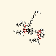 CCCCCCCCCCCCc1cccc(OC(=O)CCC(C)C)c1OC(=O)CCC(C)C.COc1cccc(OC(=O)CCC(C)C)c1OC(=O)CCC(C)C